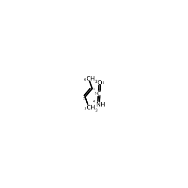 CC=CC.N=C=O